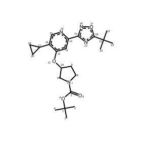 CC(C)(C)OC(=O)N1CCC(Oc2cc(-c3noc(C(C)(C)C)n3)ncc2C2CC2)C1